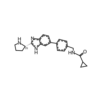 O=C(NCc1ccc(-c2ccc3nc([C@@H]4CCCN4)[nH]c3c2)cc1)C1CC1